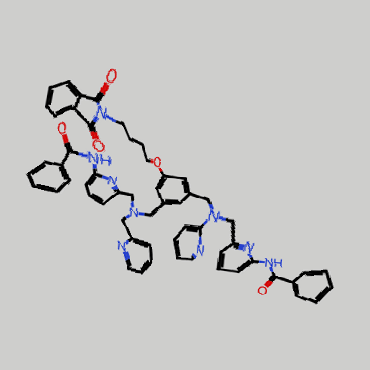 O=C(Nc1cccc(CN(Cc2cc(CN(Cc3cccc(NC(=O)c4ccccc4)n3)c3ccccn3)cc(OCCCCN3C(=O)c4ccccc4C3=O)c2)Cc2ccccn2)n1)c1ccccc1